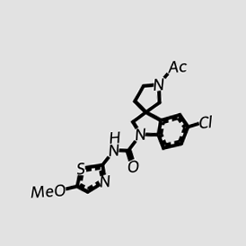 COc1cnc(NC(=O)N2CC3(CCN(C(C)=O)C3)c3cc(Cl)ccc32)s1